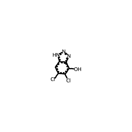 Oc1c(Cl)c(Cl)cc2[nH]nnc12